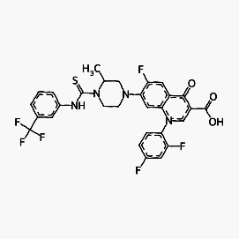 CC1CN(c2cc3c(cc2F)c(=O)c(C(=O)O)cn3-c2ccc(F)cc2F)CCN1C(=S)Nc1cccc(C(F)(F)F)c1